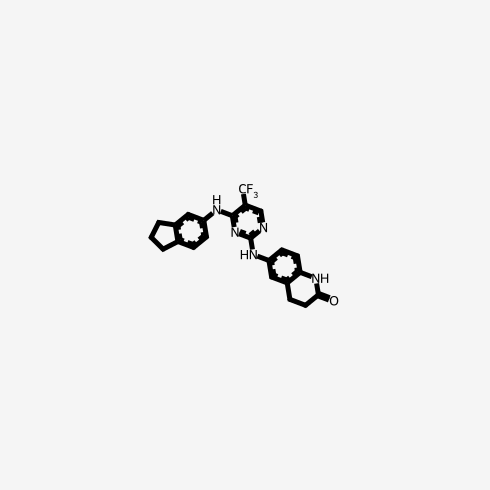 O=C1CCc2cc(Nc3ncc(C(F)(F)F)c(Nc4ccc5c(c4)CCC5)n3)ccc2N1